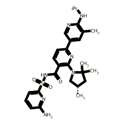 Cc1cc(-c2ccc(C(=O)NS(=O)(=O)c3cccc(N)n3)c(N3C[C@@H](C)CC3(C)C)n2)cnc1NC(C)C